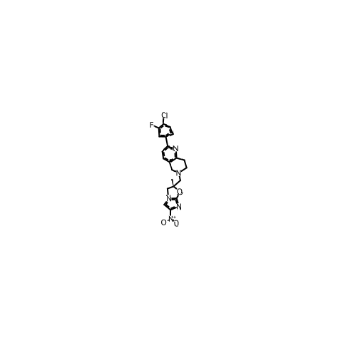 C[C@]1(CN2CCc3nc(-c4ccc(Cl)c(F)c4)ccc3C2)Cn2cc([N+](=O)[O-])nc2O1